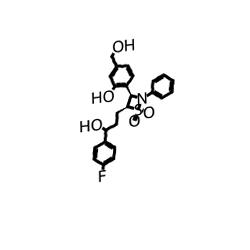 O=S1(=O)[C@@H](CCC(O)c2ccc(F)cc2)[C@@H](c2ccc(CO)cc2O)N1c1ccccc1